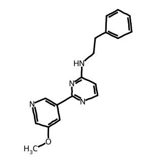 COc1cncc(-c2nccc(NCCc3ccccc3)n2)c1